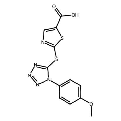 COc1ccc(-n2nnnc2Sc2ncc(C(=O)O)s2)cc1